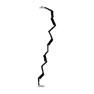 [CH2]CCCCCC=CCC=CCC=CCC=C=CCCCC